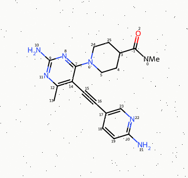 CNC(=O)C1CCN(c2nc(N)nc(C)c2C#Cc2ccc(N)nc2)CC1